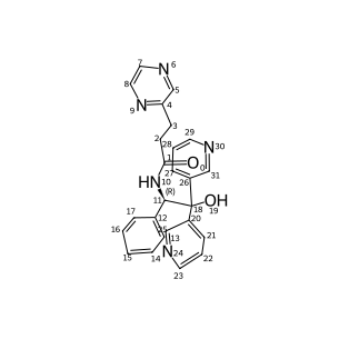 O=C(CCc1cnccn1)N[C@H](c1ccccc1)C(O)(c1cccnc1)c1cccnc1